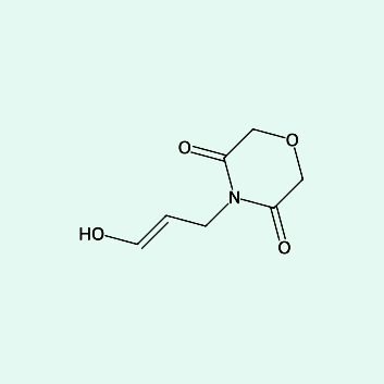 O=C1COCC(=O)N1CC=CO